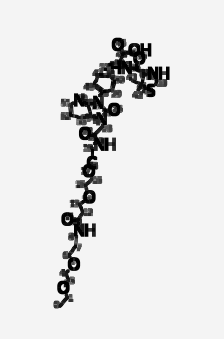 CCOCCOCCCNC(=O)CCOCCOCCNC(=O)Cn1c(=O)n(-c2ccc(C[C@H](NC(=O)[C@H]3NCSC3(C)C)C(=O)O)cc2)c2ncccc21